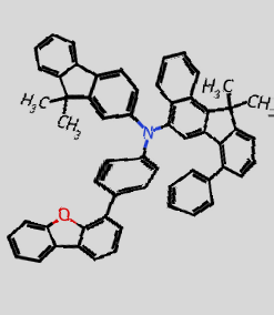 CC1(C)c2ccccc2-c2ccc(N(c3ccc(-c4cccc5c4oc4ccccc45)cc3)c3cc4c(c5ccccc35)C(C)(C)c3cccc(-c5ccccc5)c3-4)cc21